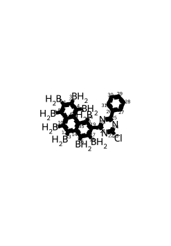 Bc1c(B)c(B)c2c(c1B)c(B)c(B)c1c(B)c(B)c(-c3nc(Cl)nc(-c4ccccc4)n3)c(B)c12